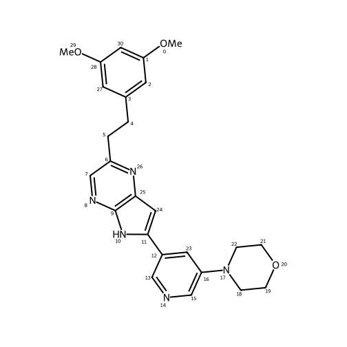 COc1cc(CCc2cnc3[nH]c(-c4cncc(N5CCOCC5)c4)cc3n2)cc(OC)c1